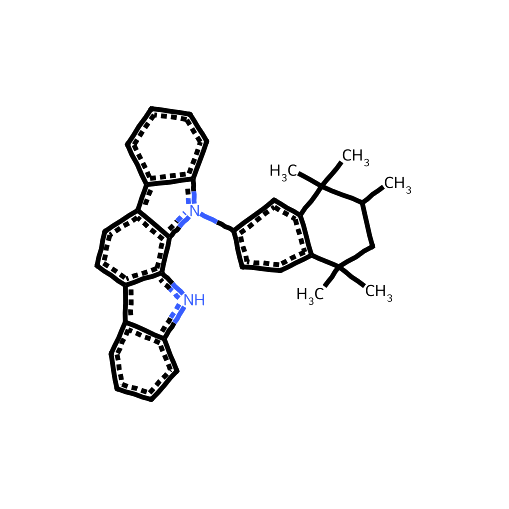 CC1CC(C)(C)c2ccc(-n3c4ccccc4c4ccc5c6ccccc6[nH]c5c43)cc2C1(C)C